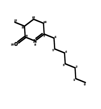 CCCCCCCC1=NC(=O)C(C)CC1